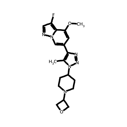 COc1cc(-c2nnn(C3CCN(C4COC4)CC3)c2C)cn2ncc(F)c12